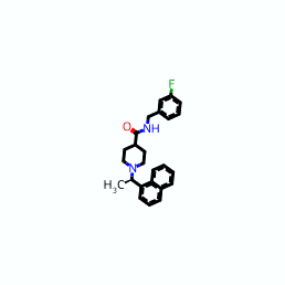 C[C@H](c1cccc2ccccc12)N1CCC(C(=O)NCc2cccc(F)c2)CC1